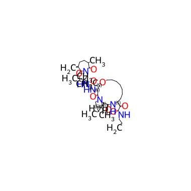 C=CCNC(=O)C(=O)[C@@H]1CCCCCCCO[C@@H](C)[C@H](NC(=O)N[C@H](CN2C(=O)C(=C)CCC(C)C2=O)C(C)(C)C)C(=O)N2C[C@H]3[C@@H]([C@H]2C(=O)N1)C3(C)C